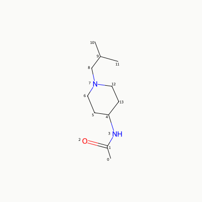 CC(=O)NC1CCN(CC(C)C)CC1